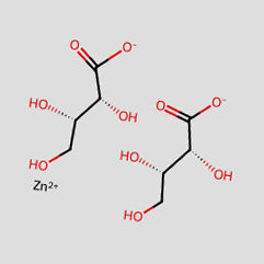 O=C([O-])[C@H](O)[C@@H](O)CO.O=C([O-])[C@H](O)[C@@H](O)CO.[Zn+2]